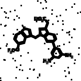 CCOC(=O)Cc1cn(Cc2csc3ccc(OC(F)(F)F)cc23)c2cc(C3=CC(N)CC(N)=C3)ccc12